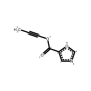 CC#COC(=O)c1cnco1